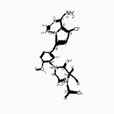 COc1ccc(-c2cc(Cl)c3c(N)ncnn23)cc1N1CCN(C(C)=O)C(C)(C)C1=O